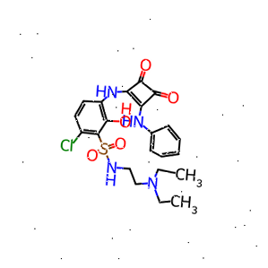 CCN(CC)CCNS(=O)(=O)c1c(Cl)ccc(Nc2c(Nc3ccccc3)c(=O)c2=O)c1O